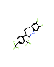 Fc1cc2c(cc1F)NCC(c1ccc(C(F)(F)F)cc1C(F)(F)F)CC2